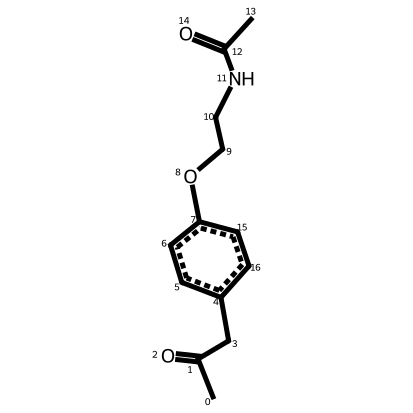 CC(=O)Cc1ccc(OCCNC(C)=O)cc1